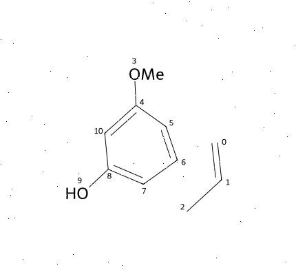 C=CC.COc1cccc(O)c1